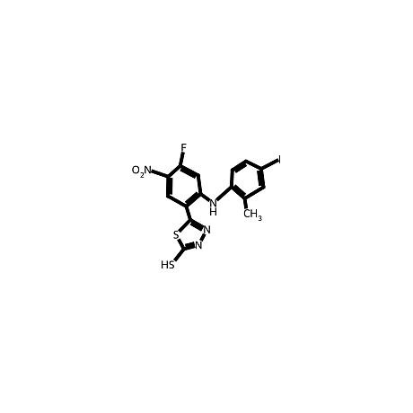 Cc1cc(I)ccc1Nc1cc(F)c([N+](=O)[O-])cc1-c1nnc(S)s1